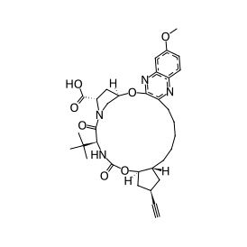 C#C[C@@H]1C[C@H]2CCCCCc3nc4ccc(OC)cc4nc3O[C@@H]3C[C@@H](C(=O)O)N(C3)C(=O)[C@H](C(C)(C)C)NC(=O)O[C@@H]2C1